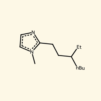 CCCCC(CC)CCc1nccn1C